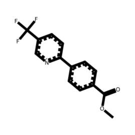 COC(=O)c1ccc(-c2ccc(C(F)(F)F)cn2)cc1